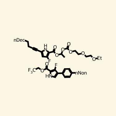 CCCCCCCCCCCCC#Cc1cc(F)c(C(=O)OC(C)OC(=O)OCCOCCOCC)[nH]1.CCCCCCCCCc1ccc(-c2c[nH]c(C(=O)OCC(F)(F)F)c2F)cc1